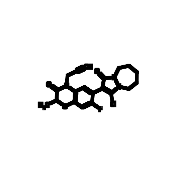 C#CCN1C(=O)C(C)Oc2cc(F)c(-c3c(Cl)n4n(c3=O)CCCCC4)cc21